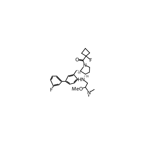 COC(CN[C@H]1CCN(C(=O)C2(F)CCC2)[C@H]1Cc1cccc(-c2cccc(F)c2)c1)N(C)C